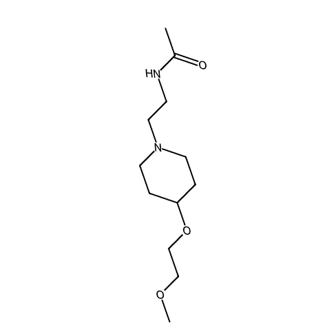 COCCOC1CCN(CCNC(C)=O)CC1